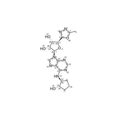 Cc1nnc([C@H]2O[C@@H](n3cnc4c(N[C@H]5CCC[C@@H]5O)ncnc43)[C@H](O)[C@@H]2O)o1